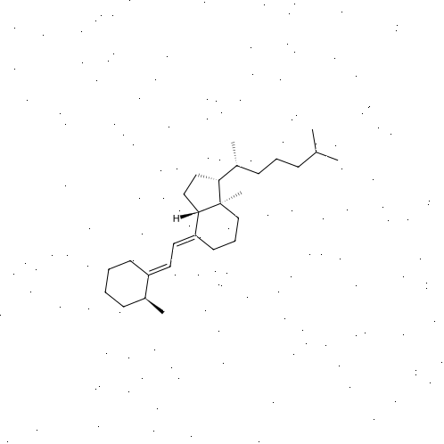 CC(C)CCC[C@@H](C)[C@H]1CC[C@H]2/C(=C/C=C3\CCCC[C@@H]3C)CCC[C@]12C